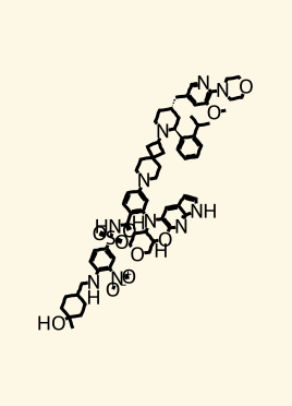 COc1cc(C[C@H]2CCN(C3CC4(CCN(c5ccc(C(=O)NS(=O)(=O)c6ccc(NCC7CCC(C)(O)CC7)c([N+](=O)[O-])c6)c(N6c7cc8cc[nH]c8nc7O[C@H]7COCC[C@@H]76)c5)CC4)C3)[C@H](c3ccccc3C(C)C)C2)cnc1N1CCOCC1